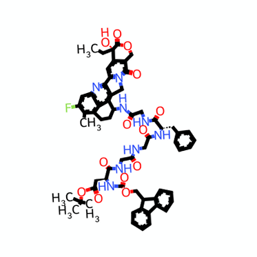 CC[C@@]1(O)C(=O)OCc2c1cc1n(c2=O)Cc2c-1nc1cc(F)c(C)c3c1c2C(NC(=O)CNC(=O)[C@H](Cc1ccccc1)NC(=O)CNC(=O)CNC(=O)[C@H](CC(=O)OC(C)(C)C)NC(=O)OCC1c2ccccc2-c2ccccc21)CC3